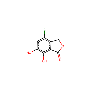 O=C1OCc2c(Cl)cc(O)c(O)c21